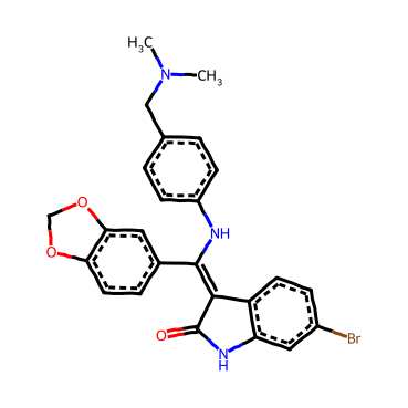 CN(C)Cc1ccc(NC(=C2C(=O)Nc3cc(Br)ccc32)c2ccc3c(c2)OCO3)cc1